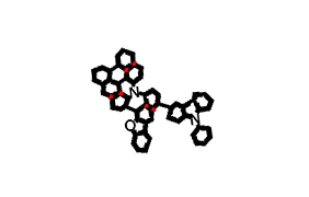 c1ccc(-c2cccc3cccc(-c4ccccc4N(c4ccc(-c5ccc6c(c5)c5ccccc5n6-c5ccccc5)cc4)c4ccccc4-c4cccc5c4oc4ccccc45)c23)cc1